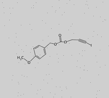 COc1ccc(COC(=O)OCC#CI)cc1